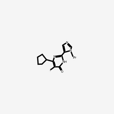 CC(C)n1cncc1-c1nc(C2CCCC2)c(I)c(=O)[nH]1